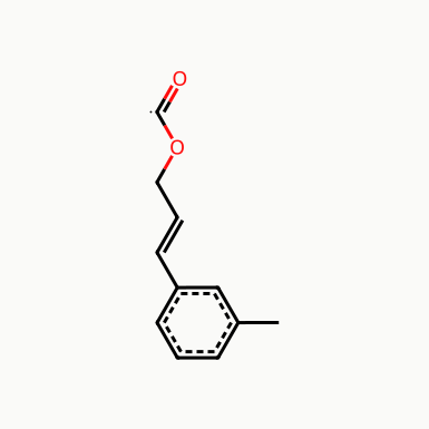 Cc1cccc(C=CCO[C]=O)c1